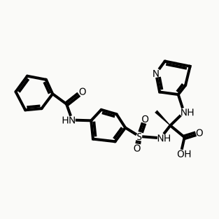 C[C@](Nc1cccnc1)(NS(=O)(=O)c1ccc(NC(=O)c2ccccc2)cc1)C(=O)O